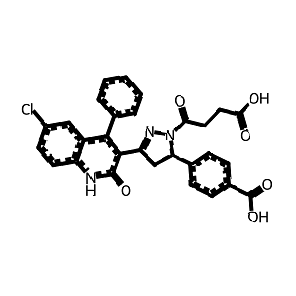 O=C(O)CCC(=O)N1N=C(c2c(-c3ccccc3)c3cc(Cl)ccc3[nH]c2=O)CC1c1ccc(C(=O)O)cc1